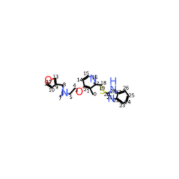 Cc1c(OCCN(C)Cc2ccoc2)ccnc1CSc1nc2ccccc2[nH]1